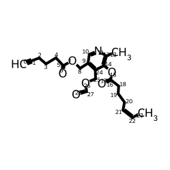 C#CCCCC(=O)OCc1cnc(C)c(OC(=O)CCC/C=C\C)c1COC=O